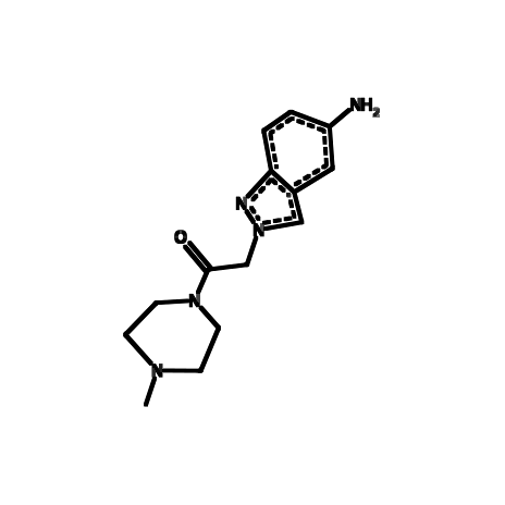 CN1CCN(C(=O)Cn2cc3cc(N)ccc3n2)CC1